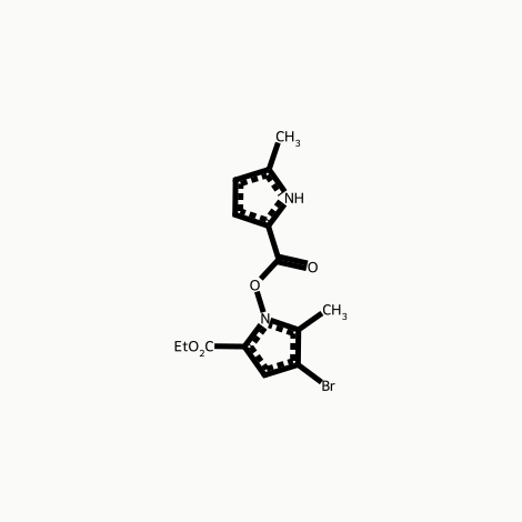 CCOC(=O)c1cc(Br)c(C)n1OC(=O)c1ccc(C)[nH]1